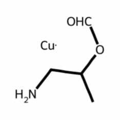 CC(CN)OC=O.[Cu]